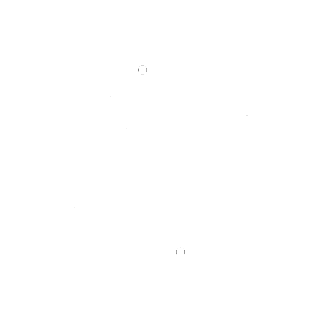 CC(C)(C)c1cc(-c2ccco2)c2cc(C(C)(C)C)cc(-c3ccco3)c2c1